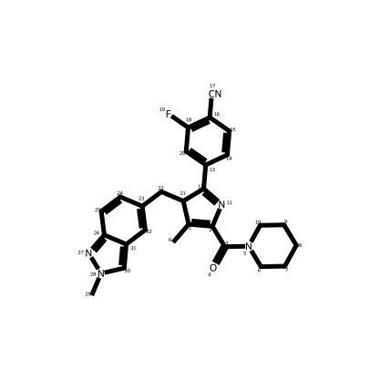 CC1=C(C(=O)N2CCCCC2)N=C(c2ccc(C#N)c(F)c2)C1Cc1ccc2nn(C)cc2c1